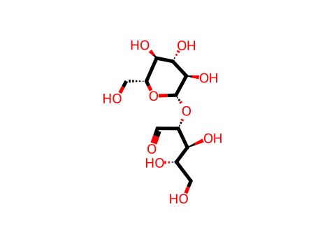 O=C[C@H](O[C@@H]1O[C@H](CO)[C@@H](O)[C@H](O)[C@H]1O)[C@@H](O)[C@@H](O)CO